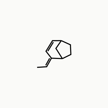 CC=C1C=CC2CCC1C2